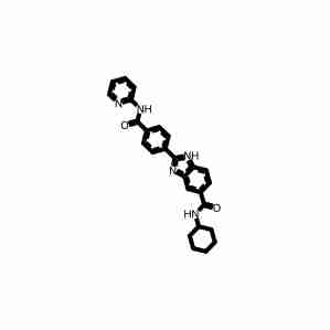 O=C(Nc1ccccn1)c1ccc(-c2nc3cc(C(=O)NC4CCCCC4)ccc3[nH]2)cc1